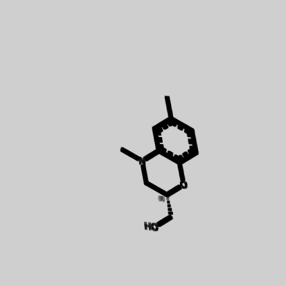 Cc1ccc2c(c1)N(C)C[C@@H](CO)O2